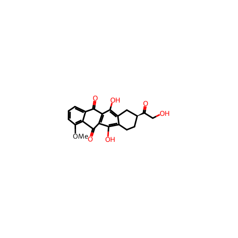 COc1cccc2c1C(=O)c1c(O)c3c(c(O)c1C2=O)C[C@@H](C(=O)CO)CC3